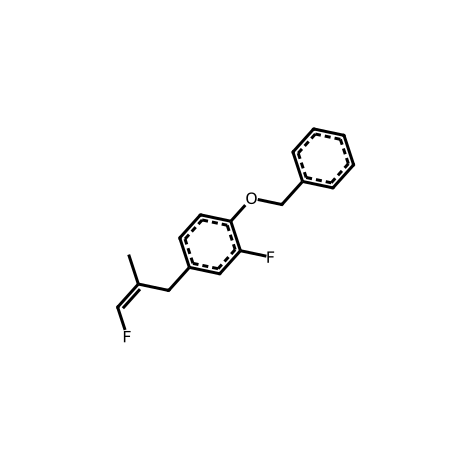 C/C(=C/F)Cc1ccc(OCc2ccccc2)c(F)c1